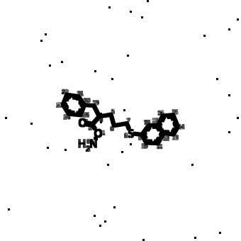 NOC(=O)C(CCCSc1ccc2ccccc2c1)Cc1ccccc1